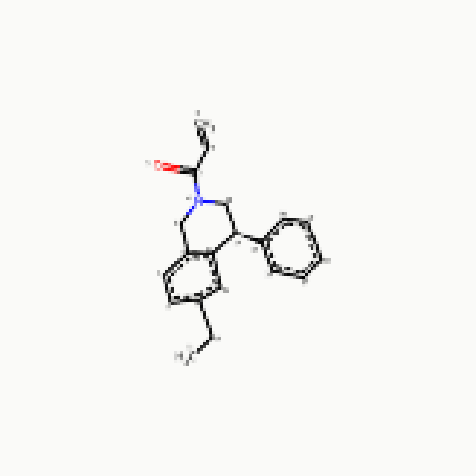 C=CC(=O)N1Cc2ccc(CC)cc2[C@H](c2ccccc2)C1